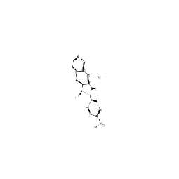 CCOc1c2c(c(OC(C)C)c3ccccc13)C(=O)N(c1ccc(C(CC)C(=O)O)cc1)C2=O